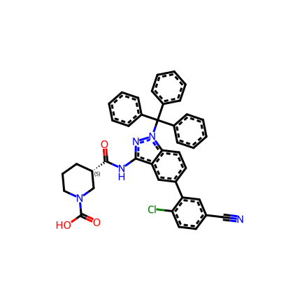 N#Cc1ccc(Cl)c(-c2ccc3c(c2)c(NC(=O)[C@H]2CCCN(C(=O)O)C2)nn3C(c2ccccc2)(c2ccccc2)c2ccccc2)c1